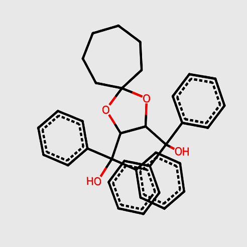 OC(c1ccccc1)(c1ccccc1)C1OC2(CCCCCC2)OC1C(O)(c1ccccc1)c1ccccc1